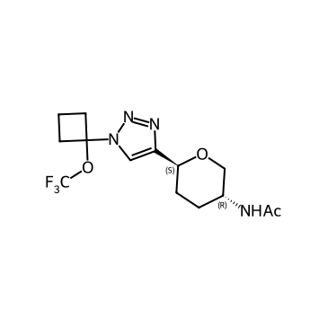 CC(=O)N[C@@H]1CC[C@@H](c2cn(C3(OC(F)(F)F)CCC3)nn2)OC1